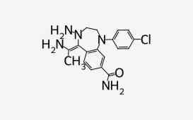 C/C(N)=C1\c2ccc(C(N)=O)cc2N(c2ccc(Cl)cc2)CCN1N